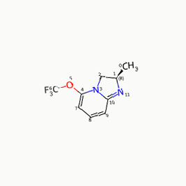 C[C@@H]1CN2C(OC(F)(F)F)=CC=CC2=N1